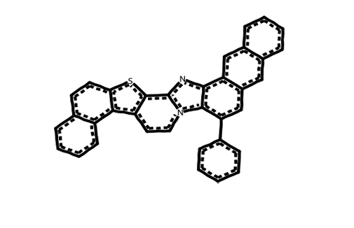 [c]1ccc(-c2cc3cc4ccccc4cc3c3nc4c5sc6ccc7ccccc7c6c5ccn4c23)cc1